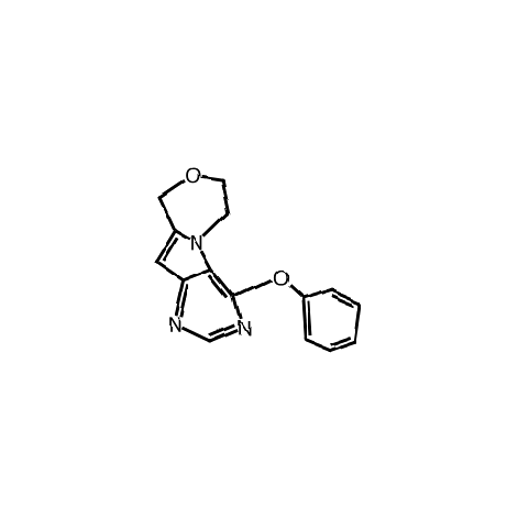 c1ccc(Oc2ncnc3cc4n(c23)CCOC4)cc1